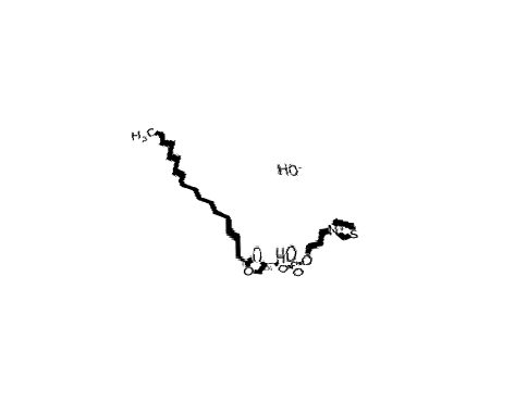 CCCCCCCCCCCCCCCCC[C@@H]1OC[C@@H](COP(=O)(O)OCCC[n+]2ccsc2)O1.[OH-]